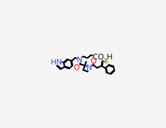 CC1(C(=O)N(CCCC(=O)O)Cc2ccc3cc[nH]c3c2)CCN1C(=O)Cc1csc2ccccc12